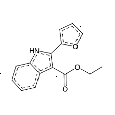 CCOC(=O)c1c(-c2ccco2)[nH]c2ccccc12